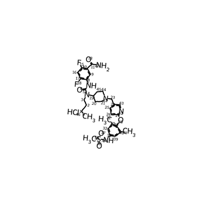 CCCCN(C(=O)Nc1cc(C(N)=O)c(F)cc1F)C1CCN(Cc2ccc(Oc3c(C)cc(NS(C)(=O)=O)cc3C)nc2)CC1.Cl